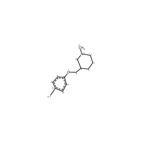 CN1CCCC(COc2ccc(I)cc2)C1